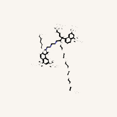 COCCOCCOCCOCCOCCOCC[N+]1=C(/C=C/C=C/C=C2/N(CCCCCC(=O)O)c3ccc4c(S(=O)(=O)OC)cc(S(=O)(=O)OC)cc4c3C2(C)C)C(C)(CCCS(=O)(=O)OC)c2c1ccc1c(S(=O)(=O)OC)cc(S(=O)(=O)OC)cc21